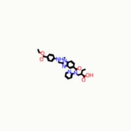 CCOC(=O)c1ccc(NCc2nc3cc(C(=O)N(CC(CC)C(=O)O)c4ccccn4)ccc3n2C)cc1